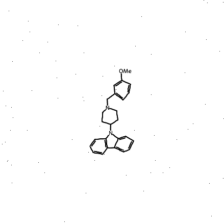 COc1cccc(CN2CCC(n3c4ccc[c]c4c4ccccc43)CC2)c1